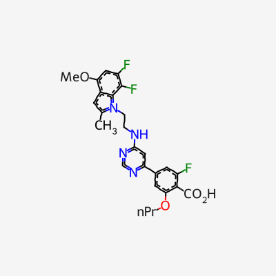 CCCOc1cc(-c2cc(NCCn3c(C)cc4c(OC)cc(F)c(F)c43)ncn2)cc(F)c1C(=O)O